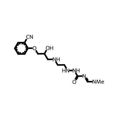 CNC=NC(=O)NNCCNCC(O)COc1ccccc1C#N